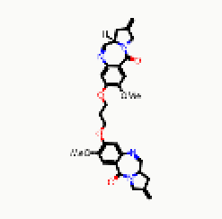 C=C1CC2C=Nc3cc(OCCCOc4cc5c(cc4OC)C(=O)N4CC(=C)C[C@H]4C=N5)c(OC)cc3C(=O)N2C1